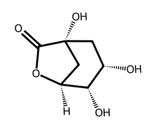 O=C1O[C@H]2C[C@]1(O)C[C@H](O)[C@@H]2O